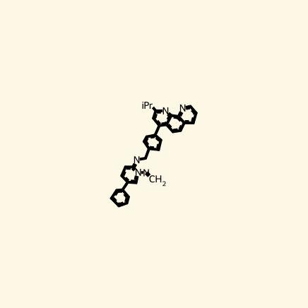 C=Nn1cc(-c2ccccc2)cc/c1=N/Cc1ccc(-c2cc(C(C)C)nc3c2ccc2cccnc23)cc1